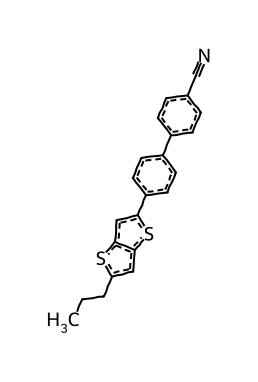 CCCc1cc2sc(-c3ccc(-c4ccc(C#N)cc4)cc3)cc2s1